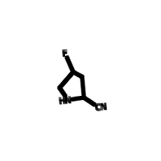 N#CC1CC(F)CN1